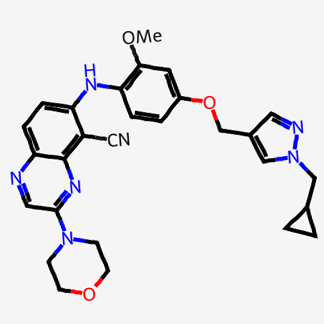 COc1cc(OCc2cnn(CC3CC3)c2)ccc1Nc1ccc2ncc(N3CCOCC3)nc2c1C#N